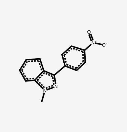 Cn1nc(-c2ccc([N+](=O)[O-])cc2)c2ccccc21